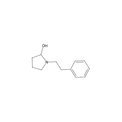 OC1CCCN1CCc1ccccc1